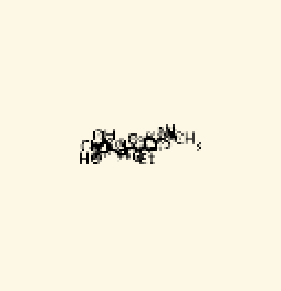 CCOC(C(=O)c1ccc(-c2cc(O)c(Cl)c(O)c2)o1)c1ccc(-c2nnc(C)s2)cc1